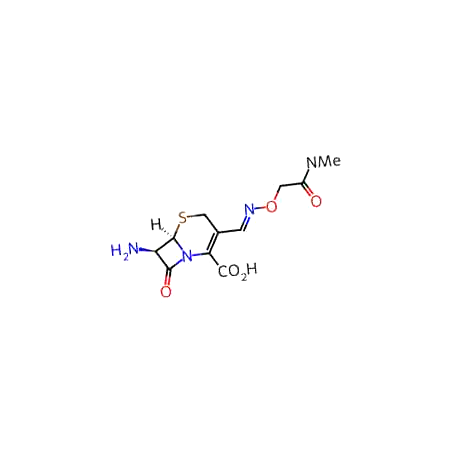 CNC(=O)CO/N=C/C1=C(C(=O)O)N2C(=O)[C@@H](N)[C@H]2SC1